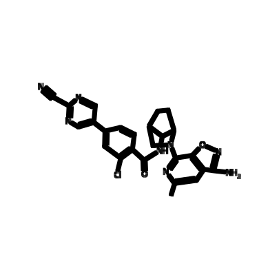 Cc1cc2c(N)noc2c(N2CC3CCC2C3NC(=O)c2ccc(-c3cnc(C#N)nc3)cc2Cl)n1